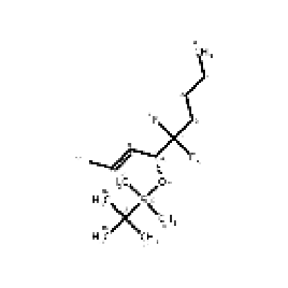 CCCCC(F)(F)[C@@H](C=CI)O[Si](C)(C)C(C)(C)C